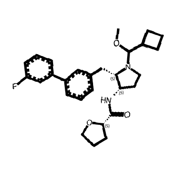 COC(C1CCC1)N1CC[C@H](NC(=O)[C@@H]2CCCO2)[C@@H]1Cc1cccc(-c2cccc(F)c2)c1